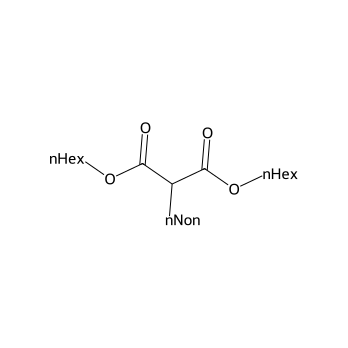 CCCCCCCCCC(C(=O)OCCCCCC)C(=O)OCCCCCC